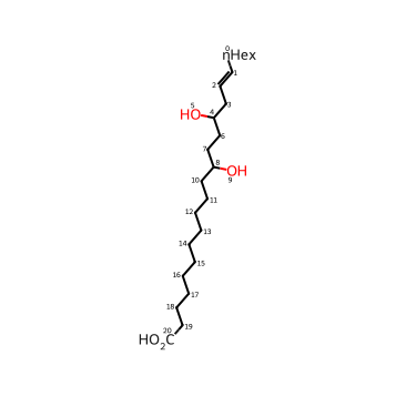 CCCCCCC=CCC(O)CCC(O)CCCCCCCCCCC(=O)O